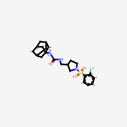 O=C(NCC1CCN(S(=O)(=O)c2ccccc2F)C1)NC12CC3CC(CC(C3)C1)C2